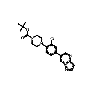 CC(C)(C)OC(=O)N1CCN(c2ccc(-c3cnc4ccnn4c3)cc2Cl)CC1